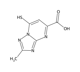 Cc1nc2nc(C(=O)O)cc(S)n2n1